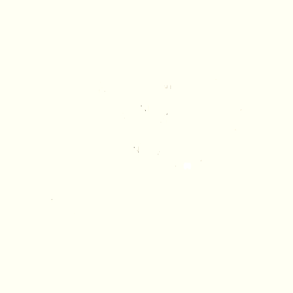 CCC(C)NC(=O)C(=Cc1ccccc1)NC(=O)/C=C\c1ccccc1